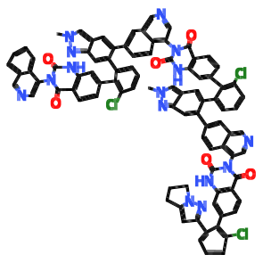 Cn1cc2cc(-c3cccc(Cl)c3-c3ccc4c(=O)n(-c5cncc6cc(-c7cc8cn(C)nc8cc7-c7cccc(Cl)c7-c7ccc8c(=O)n(-c9cncc%10ccccc9%10)c(=O)[nH]c8c7)ccc56)c(=O)[nH]c4c3)c(-c3ccc4c(-n5c(=O)[nH]c6cc(-c7c(Cl)cccc7-c7cc8n(n7)CCC8)ccc6c5=O)cncc4c3)cc2n1